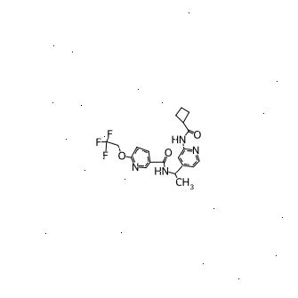 CC(NC(=O)c1ccc(OCC(F)(F)F)nc1)c1ccnc(NC(=O)C2CCC2)c1